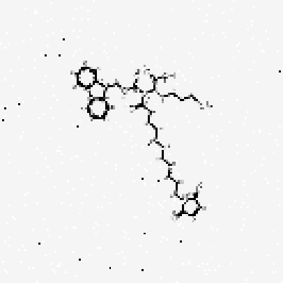 NCCCC[C@@H](C(=O)O)N(C(=O)CCCCCCCCCCN1C(=O)C=CC1=O)C(=O)OCC1c2ccccc2-c2ccccc21